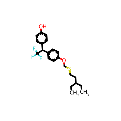 CCC(CC)CCSCOc1ccc(C(c2ccc(O)cc2)C(F)(F)F)cc1